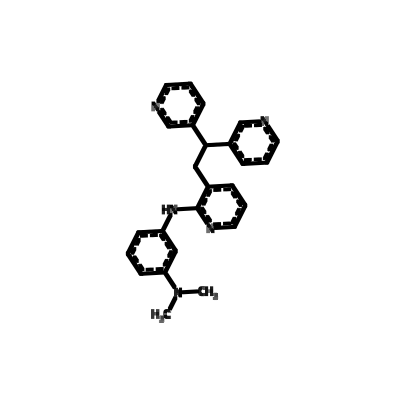 CN(C)c1cccc(Nc2ncccc2CC(c2cccnc2)c2cccnc2)c1